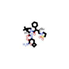 CC(C)(C)[C@@H](CN1CCCS1(=O)=O)C(C(=O)N1CC2[C@@H]([C@H]1C(=O)NC(CC1CCC1)C(=O)C(N)=O)C2(C)C)C1CCCCC1